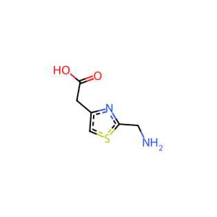 NCc1nc(CC(=O)O)cs1